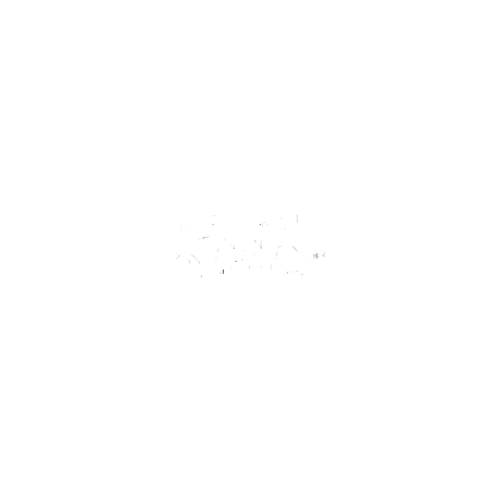 C[C@H](NP(=O)(Oc1ccc(Br)cc1)Oc1c(F)c(F)c(F)c(F)c1F)C(=O)O